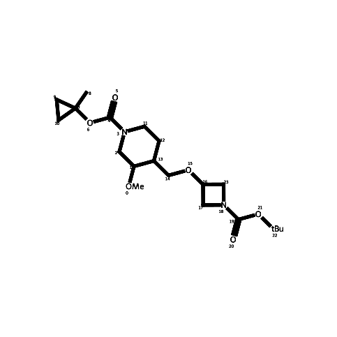 COC1CN(C(=O)OC2(C)CC2)CCC1COC1CN(C(=O)OC(C)(C)C)C1